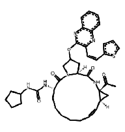 CC(=O)[C@@]12C[C@H]1/C=C\CCCCC[C@H](NC(=O)NC1CCCC1)C(=O)N1CC(Oc3nc4ccccc4nc3/C=C\c3cccs3)C[C@H]1C(=O)N2